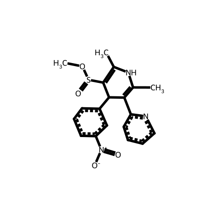 COS(=O)C1=C(C)NC(C)=C(c2ccccn2)C1c1cccc([N+](=O)[O-])c1